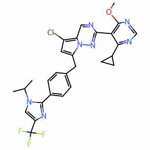 COc1ncnc(C2CC2)c1-c1ncc2c(Cl)cc(Cc3ccc(-c4nc(C(F)(F)F)cn4C(C)C)cc3)n2n1